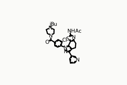 CCC(C)N1CCN(C(=O)c2ccc(-n3nc(-c4cccnc4)c4c3-c3sc(NC(C)=O)nc3CC4)c(Cl)c2)CC1